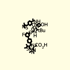 Cc1ncsc1-c1ccc(C(C)NC(=O)[C@@H]2C[C@@H](O)CN2C(=O)C(NC(=O)COc2cc(F)cc(-c3ccc(C4=N[C@@H](CC(=O)O)c5nnc(C)n5-c5sc(C)c(C)c54)cc3)c2)C(C)(C)C)cc1